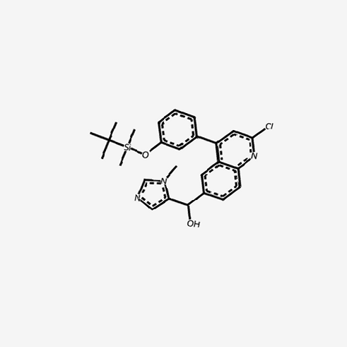 Cn1cncc1C(O)c1ccc2nc(Cl)cc(-c3cccc(O[Si](C)(C)C(C)(C)C)c3)c2c1